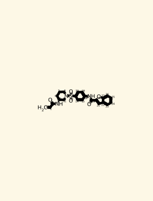 C=CC(=O)N[C@H]1CCCN(S(=O)(=O)c2ccc(NC(=O)c3cc4ccccc4o3)cc2)C1